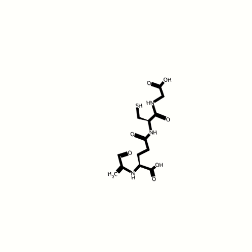 C=C(C=O)N[C@@H](CCC(=O)N[C@@H](CS)C(=O)NCC(=O)O)C(=O)O